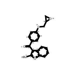 CCCCc1oc2ccccc2c1C(=O)c1ccc(OCC2CO2)cc1